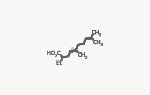 CCC(C/C=C(\C)CCC=C(C)C)C(=O)O